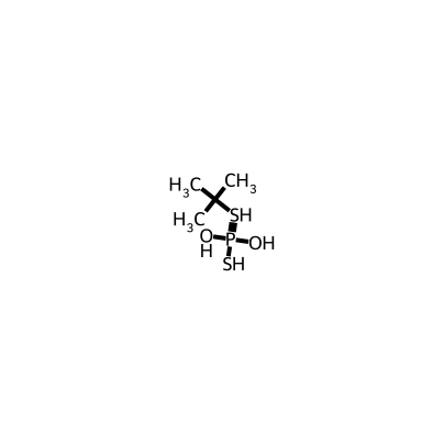 CC(C)(C)[SH]=P(O)(O)S